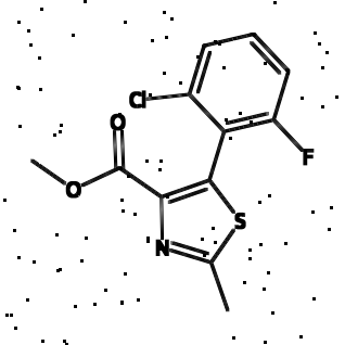 COC(=O)c1nc(C)sc1-c1c(F)cccc1Cl